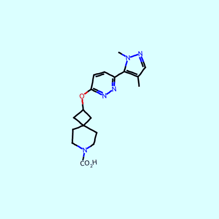 Cc1cnn(C)c1-c1ccc(OC2CC3(CCN(C(=O)O)CC3)C2)nn1